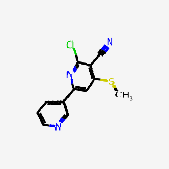 CSc1cc(-c2cccnc2)nc(Cl)c1C#N